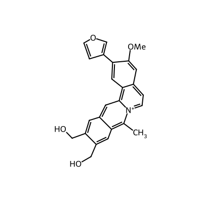 COc1cc2cc[n+]3c(C)c4cc(CO)c(CO)cc4cc3c2cc1-c1ccoc1